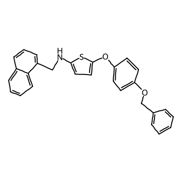 c1ccc(COc2ccc(Oc3ccc(NCc4cccc5ccccc45)s3)cc2)cc1